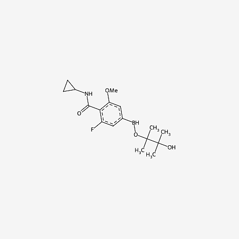 COc1cc(BOC(C)(C)C(C)(C)O)cc(F)c1C(=O)NC1CC1